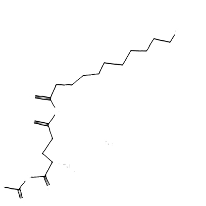 CCCCCCCCCCCC(=O)OC(=O)CC[C@H](N)C(=O)OC(=O)O.[NaH]